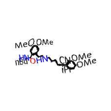 CCCCNC(=O)c1cc(OC)c(OC)cc1CCNCCCCC(C#N)(c1ccc(OC)c(OC)c1)C(C)C